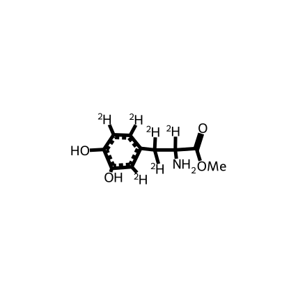 [2H]c1c([2H])c(C([2H])([2H])C([2H])(N)C(=O)OC)c([2H])c(O)c1O